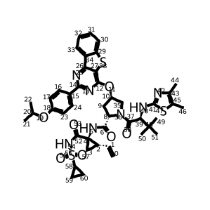 C=C[C@@H]1C[C@]1(NC(=O)[C@@H]1C[C@@H](Oc2nc(-c3ccc(OC(C)C)cc3)nc3c2sc2ccccc23)CN1C(=O)[C@@H](Nc1nc(C)c(C)s1)C(C)(C)C)C(=O)NS(=O)(=O)C1CC1